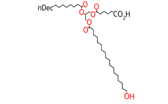 CCCCCCCCCCCCCCCCCC(=O)OC(COC(=O)CCCCCCCCCCCCCCCCCO)COC(=O)CCCCC(=O)O